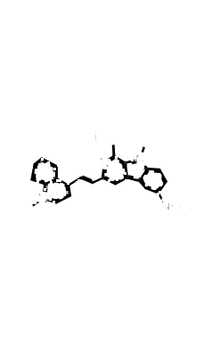 Cc1nc(/C=C/c2cc[n+](C)c3ccccc23)cc2c3cc([N+](=O)[O-])ccc3n(C)c12.[I-]